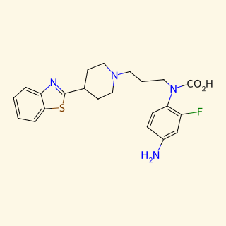 Nc1ccc(N(CCCN2CCC(c3nc4ccccc4s3)CC2)C(=O)O)c(F)c1